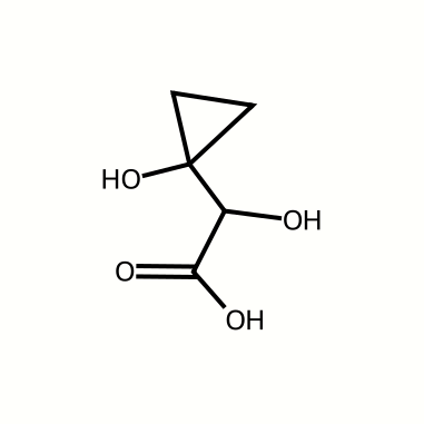 O=C(O)C(O)C1(O)CC1